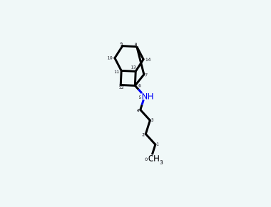 CCCCCNC12CC3CCC(C1)C2C3